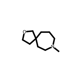 CN1CCCC2(CCOC2)CC1